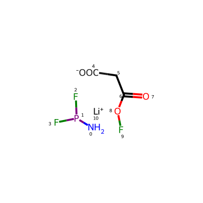 NP(F)F.O=C([O-])CC(=O)OF.[Li+]